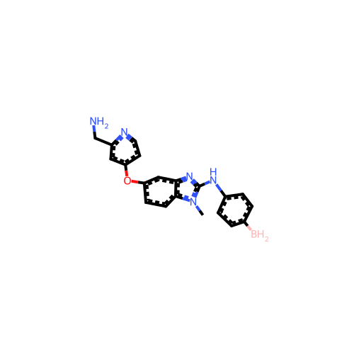 Bc1ccc(Nc2nc3cc(Oc4ccnc(CN)c4)ccc3n2C)cc1